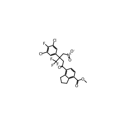 COC(=O)c1ccc(C(=O)CC(C[N+](=O)[O-])(c2cc(Cl)c(F)c(Cl)c2)C(F)(F)F)c2c1CCC2